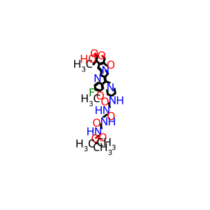 CC[C@@]1(O)C(=O)OCc2c1cc1n(c2=O)Cc2c-1nc1cc(F)c(OC)cc1c2CN1CCC(NC(=O)CNC(=O)CNC(=O)CNC(=O)OC(C)(C)C)CC1